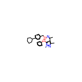 CC(=NOCc1ccc(C2CCCCC2)cc1)c1c(C)nn(C)c1Oc1ccccc1